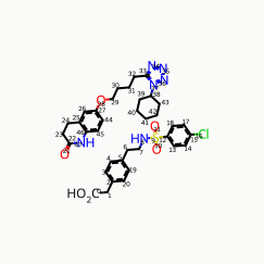 O=C(O)Cc1ccc(CCNS(=O)(=O)c2ccc(Cl)cc2)cc1.O=C1CCc2cc(OCCCCc3nnnn3C3CCCCC3)ccc2N1